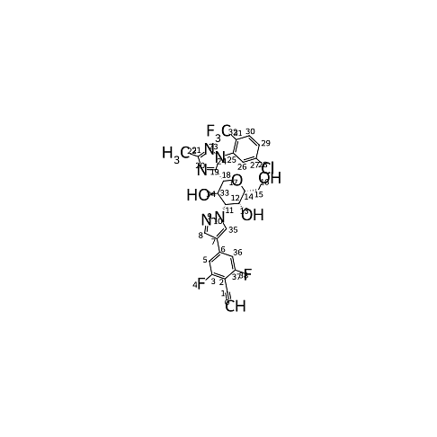 C#Cc1c(F)cc(-c2cnn([C@H]3[C@@H](O)[C@@H](CO)O[C@@H](c4nc(C)nn4-c4cc(Cl)ccc4C(F)(F)F)[C@@H]3O)c2)cc1F